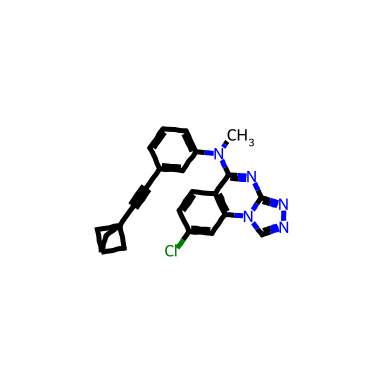 CN(c1cccc(C#CC23CC(C2)C3)c1)c1nc2nncn2c2cc(Cl)ccc12